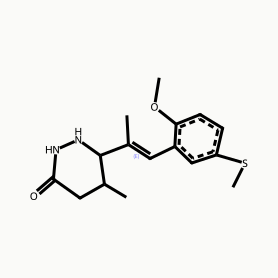 COc1ccc(SC)cc1/C=C(\C)C1NNC(=O)CC1C